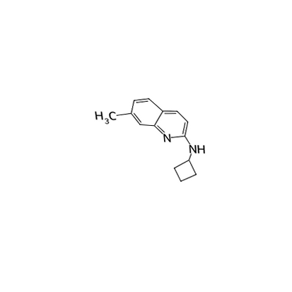 Cc1ccc2ccc(NC3CCC3)nc2c1